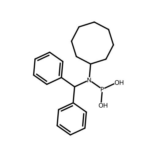 OP(O)N(C1CCCCCCC1)C(c1ccccc1)c1ccccc1